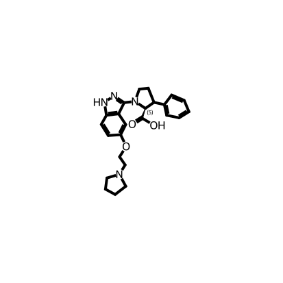 O=C(O)[C@@H]1C(c2ccccc2)CCN1c1n[nH]c2ccc(OCCN3CCCC3)cc12